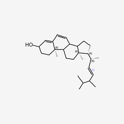 CC(C)C(C)/C=C/[C@@H](C)[C@H]1CCC2C3C=CC4=CC(O)CC[C@]4(C)C3CC[C@@]21C